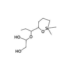 CCC(OC(O)CO)C1CCC[Si](C)(C)O1